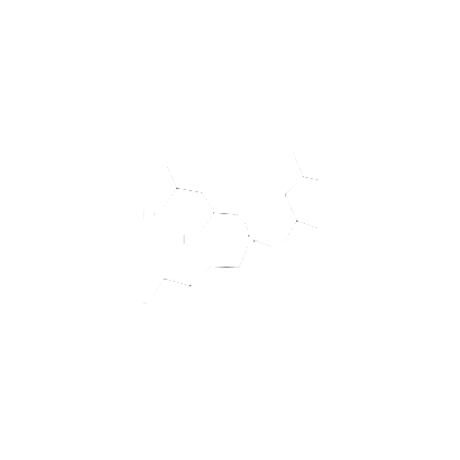 CCCCCCCCCCCCCCN(OC(CC)CC(C)O)OC(CC)CC(C)O